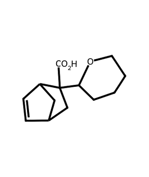 O=C(O)C1(C2CCCCO2)CC2C=CC1C2